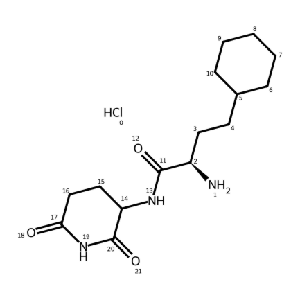 Cl.N[C@H](CCC1CCCCC1)C(=O)NC1CCC(=O)NC1=O